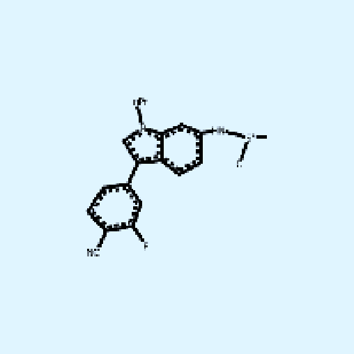 CCCn1cc(-c2ccc(C#N)c(F)c2)c2ccc(N[S+](C)[O-])cc21